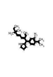 C=C/C(=C\C=C\C(C)(C)CC)C(c1ccc(C(C)C)c(C)c1)C1CCCN1